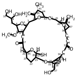 C=C1C2CC3OC(CC(O)CO)[C@H](OC)C3CC(=O)C[C@H]3CCC(O[C@@H]4C(CO)O[C@H](CC(=O)CCC5CC(=C)[C@H](CCC(C[C@H]1C)O2)O5)C4O)[C@@H](S)O3